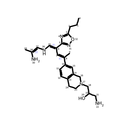 CCCc1nc(C(/C=C(\C)c2ccc3c(c2)CN(CC(O)CN)CC3)=C/N/C=C(/C)N)no1